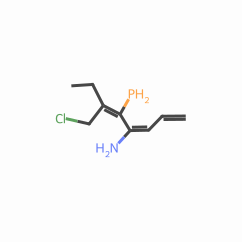 C=C/C=C(N)\C(P)=C(\CC)CCl